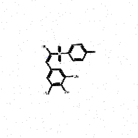 CC(C)(C)c1cc(/C=C(/C#N)S(=O)(=O)c2ccc(I)cc2)cc(C(C)(C)C)c1O